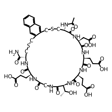 CC(=O)N[C@H]1CSCc2cc3ccccc3cc2CSC[C@@H](C(N)=O)NC(=O)[C@H](CCC(=O)O)NC(=O)CNC(=O)[C@H]([C@@H](C)O)NC(=O)[C@H](CCC(=O)O)NC(=O)[C@H](CCC(=O)O)NC(=O)[C@H](CC(=O)O)NC1=O